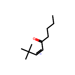 CCCCC(=O)/C=C\C(C)(C)C